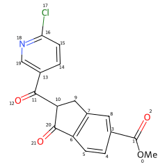 COC(=O)c1ccc2c(c1)CC(C(=O)c1ccc(Cl)nc1)C2=O